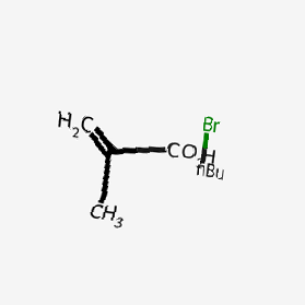 C=C(C)C(=O)O.CCCCBr